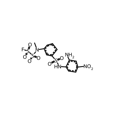 CN(c1cccc(S(=O)(=O)Nc2ccc([N+](=O)[O-])cc2N)c1)S(=O)(=O)S(=O)(=O)F